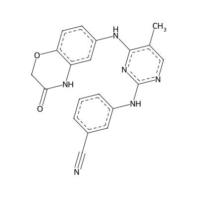 Cc1cnc(Nc2cccc(C#N)c2)nc1Nc1ccc2c(c1)NC(=O)CO2